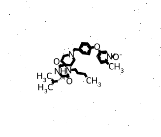 CCCCN1C(=O)[C@H](CC(C)C)NC(=O)C12CCN(Cc1ccc(Oc3ccc(C)[n+]([O-])c3)cc1)CC2